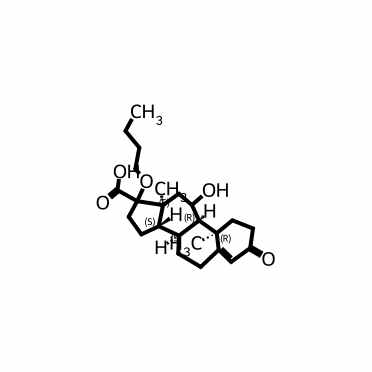 CCCCOC1(C(=O)O)CC[C@H]2[C@@H]3CCC4=CC(=O)CC[C@]4(C)[C@@H]3C(O)C[C@@]21C